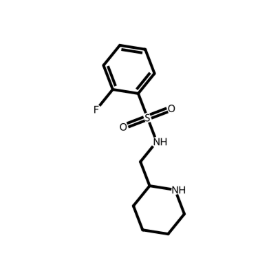 O=S(=O)(NCC1CCCCN1)c1ccccc1F